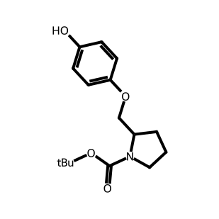 CC(C)(C)OC(=O)N1CCCC1COc1ccc(O)cc1